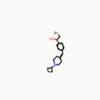 CC(C)CC(O)c1ccc(C=C2CCN(C3CCC3)CC2)cc1